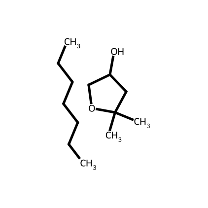 CC1(C)CC(O)CO1.CCCCCCC